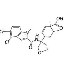 CC1C=C(C2(NC(=O)c3cc4c(Cl)c(Cl)ccc4n3C)CCOC2)C=CC1(C)C(=O)O